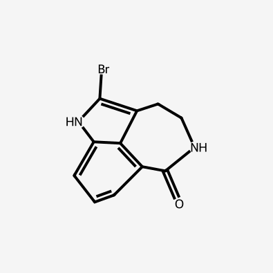 O=C1NCCc2c(Br)[nH]c3cccc1c23